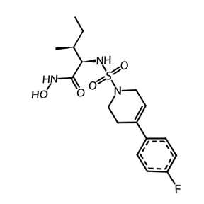 CC[C@H](C)[C@@H](NS(=O)(=O)N1CC=C(c2ccc(F)cc2)CC1)C(=O)NO